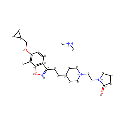 CNC.Cc1c(OCC2CC2)ccc2c(CCC3CCN(CCN4CCCC4=O)CC3)noc12